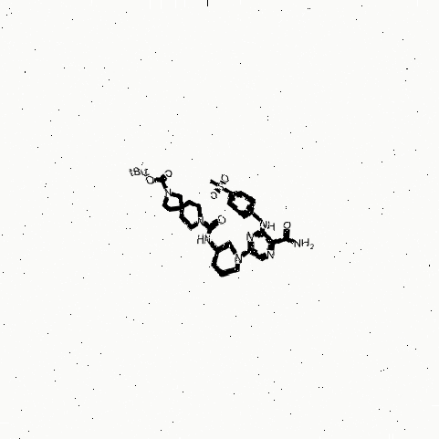 CC(C)(C)OC(=O)N1CCC2(CCN(C(=O)NC3CCCN(c4cnc(C(N)=O)c(Nc5ccc(S(C)(=O)=O)cc5)n4)C3)CC2)C1